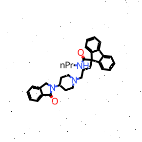 CCCNC(=O)C1(CCCN2CCC(N3Cc4ccccc4C3=O)CC2)c2ccccc2-c2ccccc21